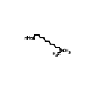 CCCCCC/C=C\CCCCCCCCN(C)C